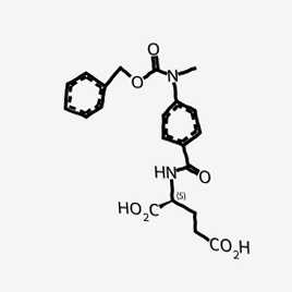 CN(C(=O)OCc1ccccc1)c1ccc(C(=O)N[C@@H](CCC(=O)O)C(=O)O)cc1